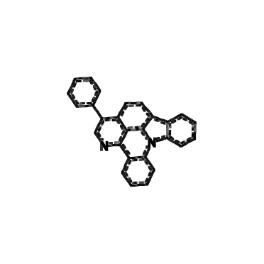 c1ccc(-c2cnc3c4ccccc4n4c5ccccc5c5ccc2c3c54)cc1